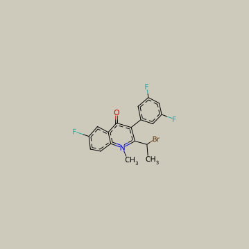 CC(Br)c1c(-c2cc(F)cc(F)c2)c(=O)c2cc(F)ccc2n1C